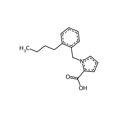 CCCCc1ccccc1Cn1cccc1C(=O)O